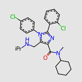 CC(C)NCc1c(C(=O)N(C)C2CCCCC2)nc(-c2ccccc2Cl)n1-c1ccc(Cl)cc1